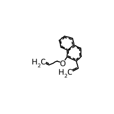 C=CCOc1c(C=C)ccc2ccccc12